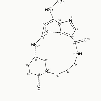 CNc1cc2nc3c(cnn13)C(=O)NCCCN1CC(CCC1=O)N2